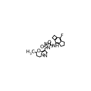 CC1CCn2ncc(S(N)(=O)=NC(=O)Nc3c4c(c(F)c5c3CC5)CCC4)c2O1